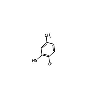 Cc1ccc([O])c(S)c1